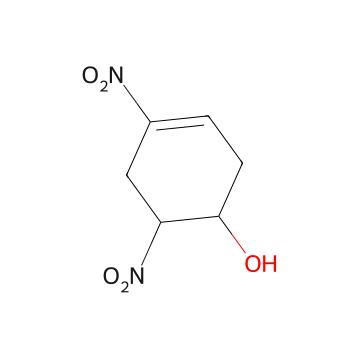 O=[N+]([O-])C1=CCC(O)C([N+](=O)[O-])C1